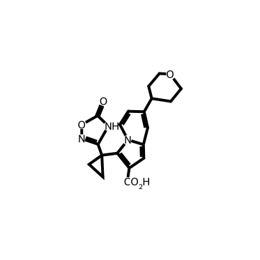 O=C(O)c1cc2cc(C3CCOCC3)ccn2c1C1(c2noc(=O)[nH]2)CC1